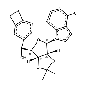 CC1(C)O[C@@H]2[C@H](O1)[C@@H](C(C)(O)c1ccc3c(c1)CC3)O[C@H]2n1ccc2c(Cl)ncnc21